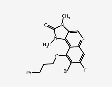 CC(C)CCCOc1c(Br)c(F)cc2ncc3c(c12)n(C)c(=O)n3C